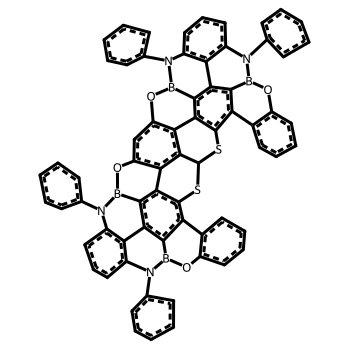 c1ccc(N2B3Oc4ccccc4-c4c5c6c7c(c43)-c3c2cccc3N(c2ccccc2)B7Oc2cc3c4c(c2-6)C(S5)Sc2c5c6c7c(c2-4)B(O3)N(c2ccccc2)c2cccc(c2-7)N(c2ccccc2)B6Oc2ccccc2-5)cc1